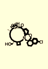 C[C@@H]1[C@@H](C)CCC[C@@H](CO)C2CCC2CN2C[C@@]3(CCCc4cc(Cl)ccc43)COc3ccc(cc32)C(=O)NS1(=O)=O